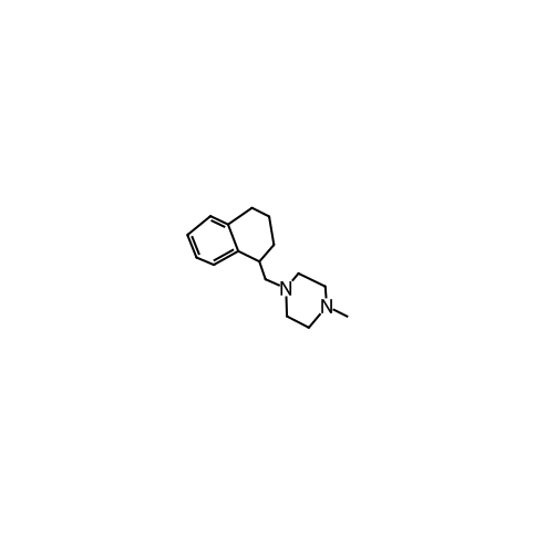 CN1CCN(CC2CCCc3ccccc32)CC1